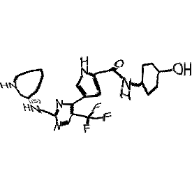 O=C(NC1CCC(O)CC1)c1cc(-c2nc(N[C@H]3CCCNC3)ncc2C(F)(F)F)c[nH]1